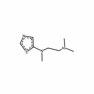 CN(CC[As](C)C)c1cncs1